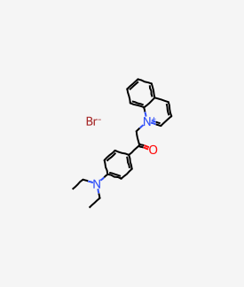 CCN(CC)c1ccc(C(=O)C[n+]2cccc3ccccc32)cc1.[Br-]